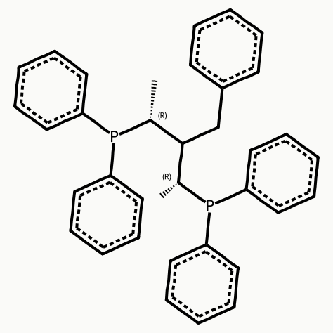 C[C@H](C(Cc1ccccc1)[C@@H](C)P(c1ccccc1)c1ccccc1)P(c1ccccc1)c1ccccc1